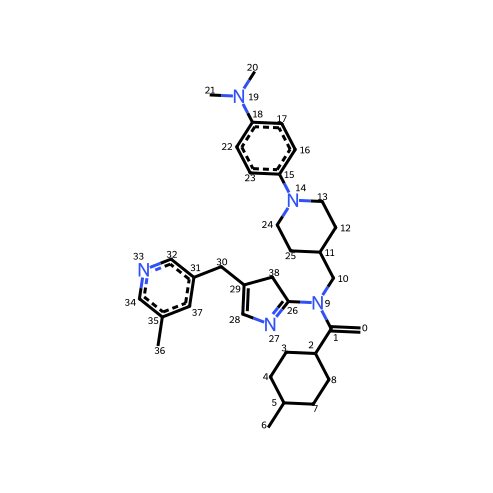 C=C(C1CCC(C)CC1)N(CC1CCN(c2ccc(N(C)C)cc2)CC1)C1=NC=C(Cc2cncc(C)c2)C1